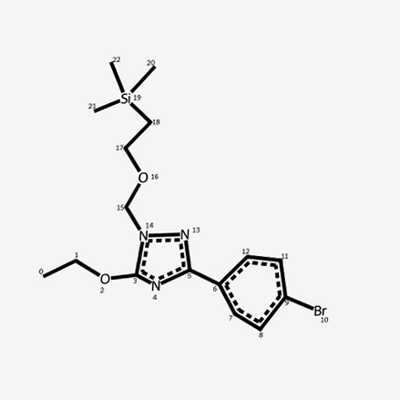 CCOc1nc(-c2ccc(Br)cc2)nn1COCC[Si](C)(C)C